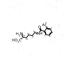 CC(=O)c1ccccc1C(=O)NCCCC[C@@H](N)C(=O)O